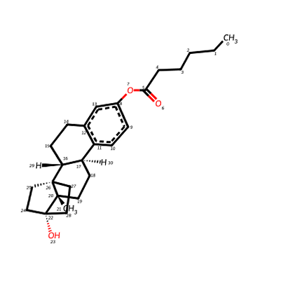 CCCCCC(=O)Oc1ccc2c(c1)CC[C@@H]1[C@@H]2CC[C@]2(C)[C@]3(O)CC[C@@]12CC3